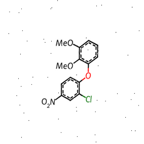 COc1cccc(Oc2ccc([N+](=O)[O-])cc2Cl)c1OC